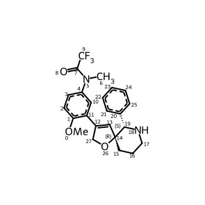 COc1ccc(N(C)C(=O)C(F)(F)F)cc1C1=C[C@@]2(CCCN[C@H]2c2ccccc2)OC1